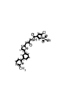 Cc1nccc(-c2cccc(-c3csc(CC(=O)CNC(=O)c4cc(Cl)n(S(=O)(=O)C(C)C)c4)n3)c2)n1